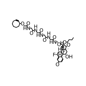 CCCC1O[C@@H]2C[C@H]3[C@@H]4C[C@H](F)C5=CC(=O)C=C[C@]5(C)[C@@]4(F)[C@@H](O)C[C@]3(C)[C@]2(C(=O)COCNC(=O)CNC(=O)CNC(=O)CNC(=O)CNC(=O)COC2C#CCCCCC2)O1